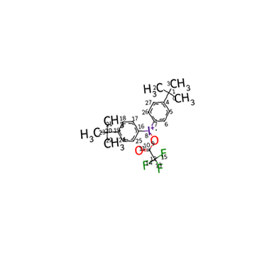 CC(C)(C)c1ccc([I+](OC(=O)C(F)(F)F)c2ccc(C(C)(C)C)cc2)cc1